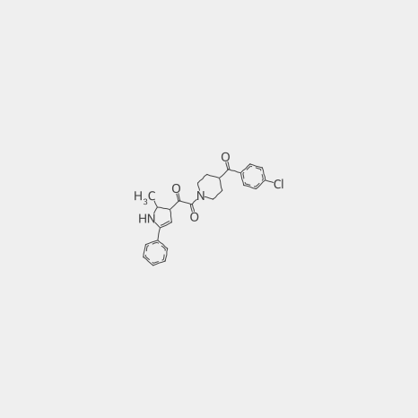 CC1NC(c2ccccc2)=CC1C(=O)C(=O)N1CCC(C(=O)c2ccc(Cl)cc2)CC1